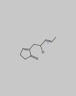 C/C=C/C(Cl)CC1=CCCC1=O